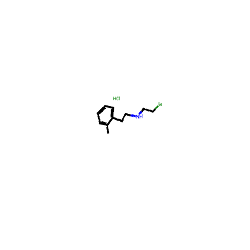 Cc1ccccc1CCNCCBr.Cl